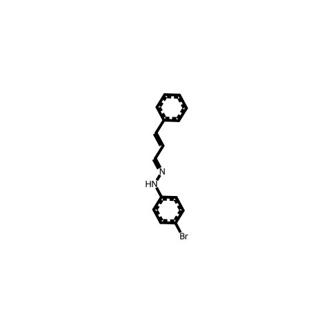 Brc1ccc(NN=CC=Cc2ccccc2)cc1